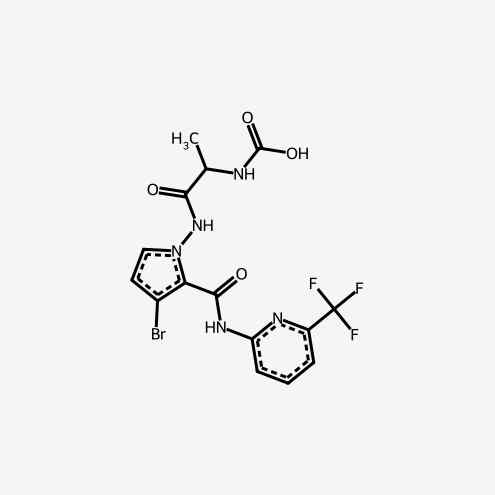 CC(NC(=O)O)C(=O)Nn1ccc(Br)c1C(=O)Nc1cccc(C(F)(F)F)n1